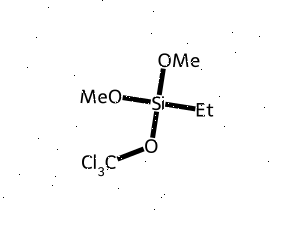 CC[Si](OC)(OC)OC(Cl)(Cl)Cl